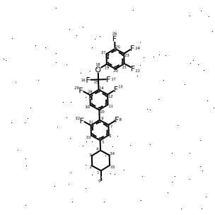 CC1CCC(c2cc(F)c(-c3cc(F)c(C(F)(F)Oc4cc(F)c(F)c(F)c4)c(F)c3)c(F)c2)CC1